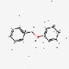 [CH]1C=CC(OCc2ccccc2)=CC1